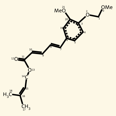 COCOc1ccc(C=CC=CC(=O)OCC=C(C)C)cc1OC